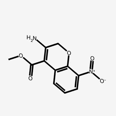 COC(=O)C1=C(N)COc2c1cccc2[N+](=O)[O-]